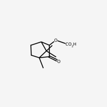 CC12CCC(C(OC(=O)O)C1=O)C2(C)C